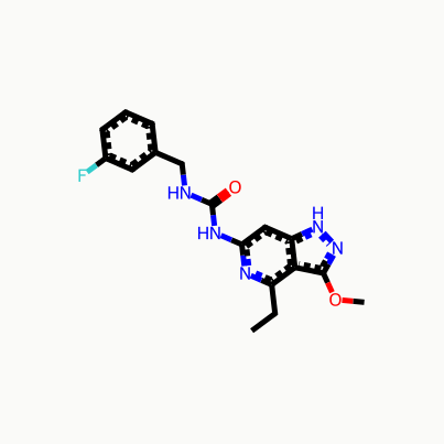 CCc1nc(NC(=O)NCc2cccc(F)c2)cc2[nH]nc(OC)c12